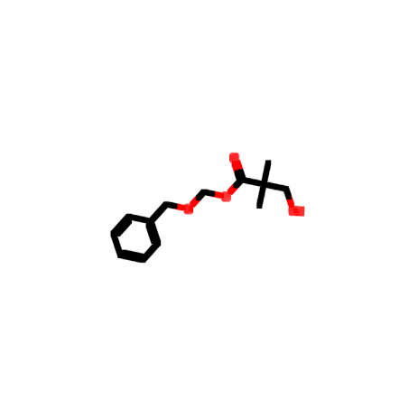 CC(C)(CO)C(=O)OCOCc1ccccc1